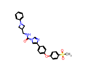 CS(=O)(=O)c1ccc(Oc2ccc(-c3cn(C(=O)NCC4CN(c5ccccc5)C4)cn3)cc2)cc1